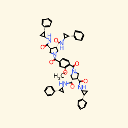 COc1cc(C(=O)N2C[C@@H](C(=O)N[C@H]3C[C@@H]3c3ccccc3)[C@H](C(=O)N[C@H]3C[C@@H]3c3ccccc3)C2)ccc1C(=O)N1C[C@@H](C(=O)N[C@H]2C[C@@H]2c2ccccc2)[C@H](C(=O)N[C@H]2C[C@@H]2c2ccccc2)C1